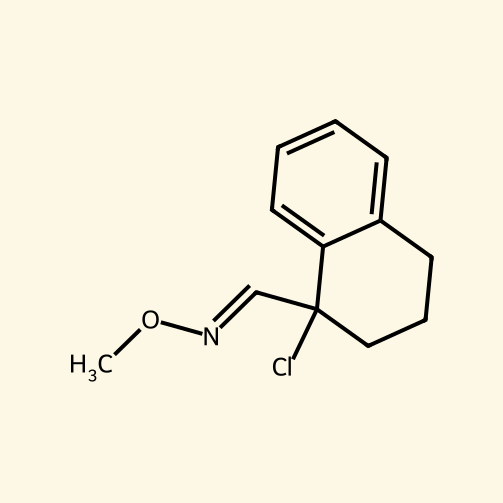 CON=CC1(Cl)CCCc2ccccc21